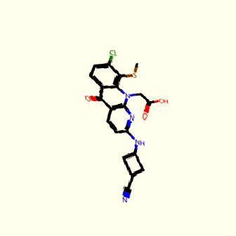 CSc1c(Cl)ccc2c(=O)c3ccc(NC4CC(C#N)C4)nc3n(CC(=O)O)c12